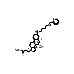 COC(=O)C[C@@H](C)[C@H]1CC[C@H]2[C@@H]3[C@H](O)C[C@@H]4C[C@H](NCCCCNCc5ccccn5)CC[C@]4(C)[C@H]3CC[C@]12C